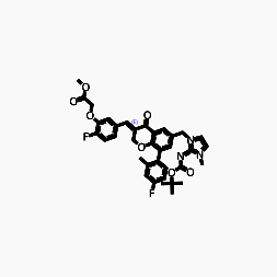 COC(=O)COc1cc(/C=C2\COc3c(cc(Cn4ccn(C)c4=NC(=O)OC(C)(C)C)cc3-c3ccc(F)cc3C)C2=O)ccc1F